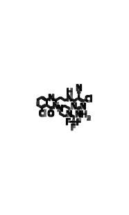 N#Cc1c(Cl)nc(N)nc1NCCc1nc2cccc(Cl)c2c(=O)n1N1CCN(CC(F)(F)F)CC1